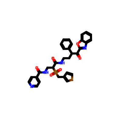 O=C(NCC(C(=O)NCCC(C(=O)c1nc2ccccc2o1)c1ccccc1)S(=O)(=O)Cc1ccsc1)c1ccncc1